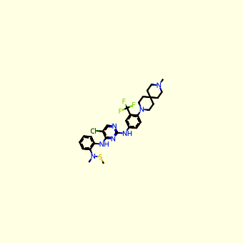 CSN(C)c1ccccc1Nc1nc(Nc2ccc(N3CCC4(CCN(C)CC4)CC3)c(C(F)(F)F)c2)ncc1Cl